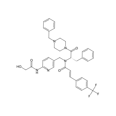 O=C(CO)Nc1ccc(CN(C(=O)C=Cc2ccc(C(F)(F)F)cc2)[C@@H](Cc2ccccc2)C(=O)N2CCN(Cc3ccccc3)CC2)cn1